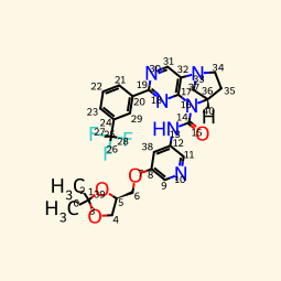 CC1(C)OC[C@H](COc2cncc(NC(=O)N3c4nc(-c5cccc(C(F)(F)F)c5)ncc4N4CC[C@H]3C4)c2)O1